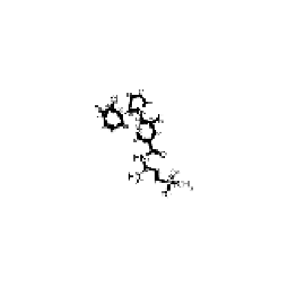 C[C@H](/C=C/S(C)(=O)=O)NC(=O)c1cnc(N2CCC[C@H]2c2cccc(F)c2Cl)c(F)c1